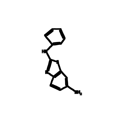 Nc1ccc2nc(Nc3ccccc3)sc2c1